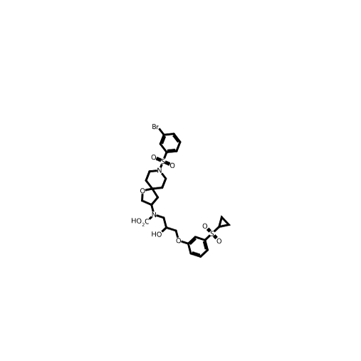 O=C(O)N(CC(O)COc1cccc(S(=O)(=O)C2CC2)c1)C1COC2(CCN(S(=O)(=O)c3cccc(Br)c3)CC2)C1